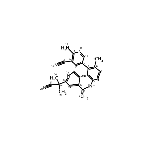 C=C(Nc1ccc(C)c(-c2cnc(N)c(C#N)c2)c1)c1ccnc(C(C)(C)C#N)c1